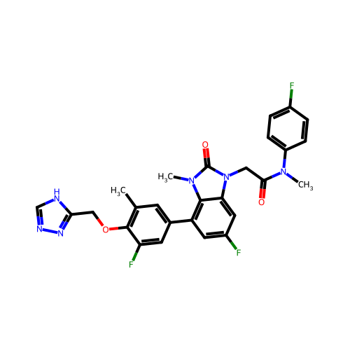 Cc1cc(-c2cc(F)cc3c2n(C)c(=O)n3CC(=O)N(C)c2ccc(F)cc2)cc(F)c1OCc1nnc[nH]1